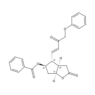 O=C(C=C[C@@H]1[C@H]2CC(=O)O[C@H]2C[C@H]1OC(=O)c1ccccc1)COc1ccccc1